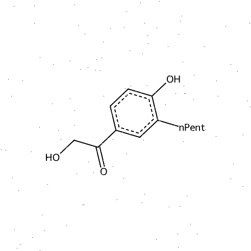 CCCCCc1cc(C(=O)CO)ccc1O